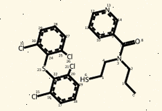 CCCN(CCS)C(=O)c1cccnc1.Clc1cccc(Cl)c1Sc1c(Cl)cccc1Cl